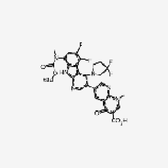 CN(C(=O)OC(C)(C)C)c1cc(F)c(F)c2c1[nH]c1ncc(-c3cnc4c(c3)c(=O)c(C(=O)O)cn4C)c(N3CCC(F)(F)C3)c12